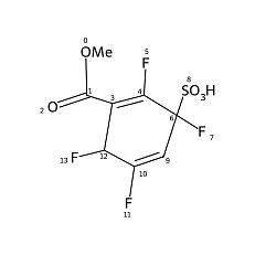 COC(=O)C1=C(F)C(F)(S(=O)(=O)O)C=C(F)C1F